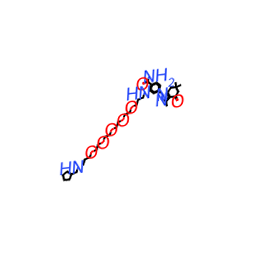 Cc1nn(-c2ccc(C(N)=O)c(NCCCOCCOCCOCCOCCOCCCNCC3CCCC3)c2)c2c1C(=O)CC(C)(C)C2